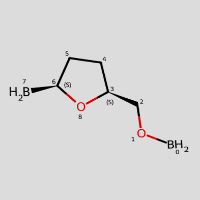 BOC[C@@H]1CC[C@H](B)O1